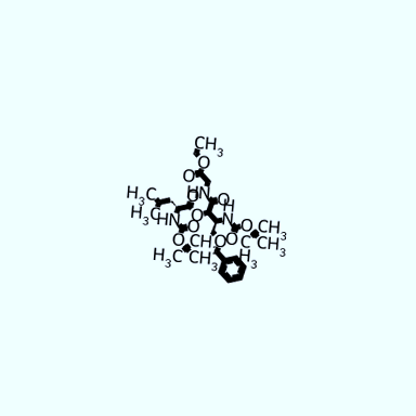 CCOC(=O)CNC(=O)C(OC(=O)[C@@H](CC(C)C)NC(=O)OC(C)(C)C)[C@H](COCc1ccccc1)NC(=O)OC(C)(C)C